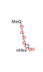 CCCCCCc1cc(OCCOCCOCCOCCOC)ccc1O